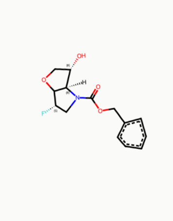 O=C(OCc1ccccc1)N1C[C@H](F)C2OC[C@H](O)[C@H]21